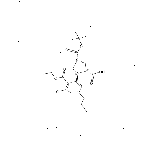 CCCc1cc(Cl)c(C(=O)OCC)c([C@H]2CN(C(=O)OC(C)(C)C)C[C@@H]2C(=O)O)c1